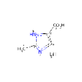 Cc1ncc(C(=O)O)[nH]1.[LiH]